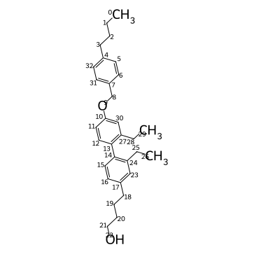 CCCCc1ccc(COc2ccc(-c3ccc(CCCCO)cc3CC)c(CC)c2)cc1